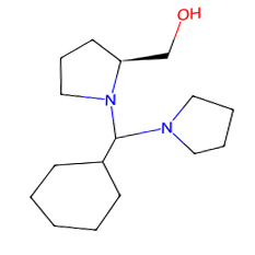 OC[C@@H]1CCCN1C(C1CCCCC1)N1CCCC1